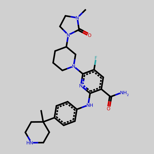 CN1CCN(C2CCCN(c3nc(Nc4ccc(C5(C)CCNCC5)cc4)c(C(N)=O)cc3F)C2)C1=O